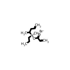 C=CCC(C)[N+](C)(CCC)OC(=O)C=C.[Br-]